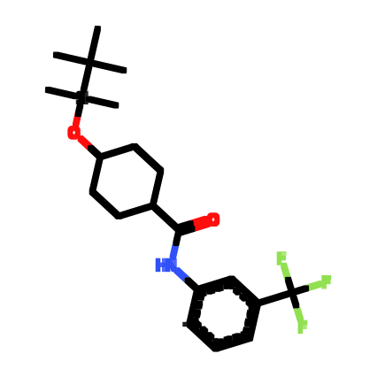 CC(C)(C)[Si](C)(C)OC1CCC(C(=O)Nc2[c]ccc(C(F)(F)F)c2)CC1